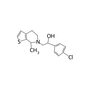 CC1c2sccc2CCN1CC(O)c1ccc(Cl)cc1